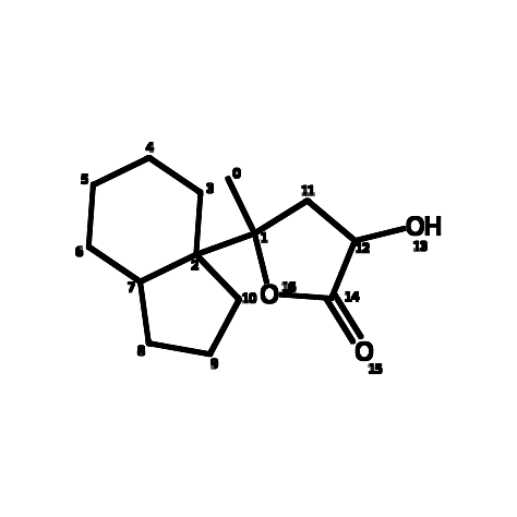 CC1(C23CCCCC2CCC3)CC(O)C(=O)O1